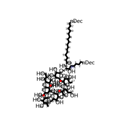 CCCCCCCCCCCCC/C=C/[C@@H](O)[C@H](CO[C@@H]1OC(CO)[C@@H](O[C@@H]2OC(CO)[C@H](O)[C@H](O[C@@H]3OC(CO)[C@@H](O[C@H]4OC(C)[C@@H](O)C(O)[C@@H]4O)[C@H](O[C@@H]4OC(CO)[C@H](O)[C@H](O[C@@H]5OC(CO)[C@@H](O)[C@H](O[C@H]6OC(C)[C@@H](O)C(O)[C@@H]6O)C5NC(C)=O)C4O)C3NC(C)=O)C2O)[C@H](O)C1O)NC(=O)CCCCCCCCCCCCCCCCCCCCCCCCC